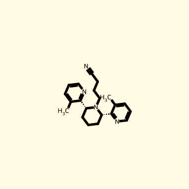 Cc1cccnc1[C@H]1CCC[C@@H](c2ncccc2C)N1CCCC#N